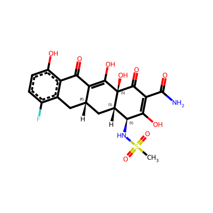 CS(=O)(=O)N[C@@H]1C(O)=C(C(N)=O)C(=O)[C@@]2(O)C(O)=C3C(=O)c4c(O)ccc(F)c4C[C@H]3C[C@@H]12